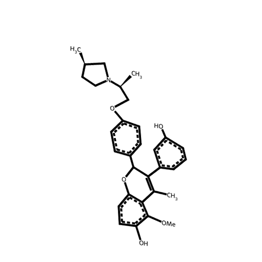 COc1c(O)ccc2c1C(C)=C(c1cccc(O)c1)C(c1ccc(OC[C@H](C)N3CC[C@@H](C)C3)cc1)O2